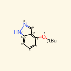 CC(C)(C)Oc1cccc2[nH]ncc12